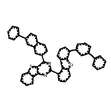 c1ccc(-c2cccc(-c3cccc4c3oc3cccc(-c5nc(-c6ccc7ccc(-c8ccccc8)cc7c6)c6sc7ccccc7c6n5)c34)c2)cc1